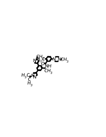 Cc1ccc(N2CCN(C)CC2)cc1C(=O)N[C@H](C)c1cc(-c2cnn(C)c2)cc(-c2cnn(C(C)C)c2)c1